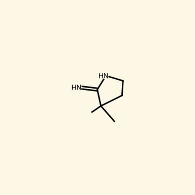 CC1(C)CCNC1=N